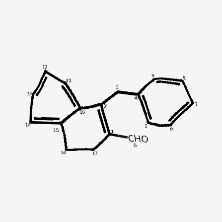 O=CC1=C(Cc2ccccc2)c2ccccc2CC1